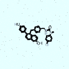 CN(C(=O)NCc1ccc(Cc2c(-c3ccc(O)cc3)ccc3cc(O)ccc23)cc1)c1ccc(Cl)cc1